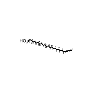 C#CC#CCCCCCCCCCCCCCCCCCCCCC(=O)O